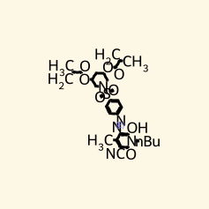 C=C(C)C(=O)OC1CC(OC(=O)C(=C)C)CN(S(=O)(=O)c2ccc(/N=N/c3c(C)c(C#N)c(=O)n(CCCC)c3O)cc2)C1